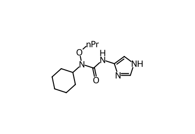 CCCON(C(=O)Nc1c[nH]cn1)C1CCCCC1